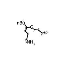 CCCCC(CCCN)OCCC[O]